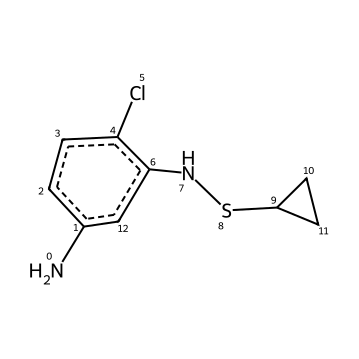 Nc1ccc(Cl)c(NSC2CC2)c1